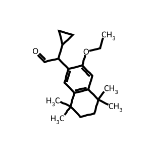 CCOc1cc2c(cc1C(C=O)C1CC1)C(C)(C)CCC2(C)C